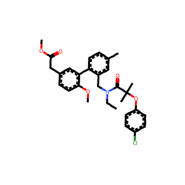 CCN(Cc1cc(C)ccc1-c1cc(CC(=O)OC)ccc1OC)C(=O)C(C)(C)Oc1ccc(Cl)cc1